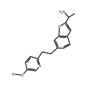 CCOc1ccc(CCc2ccc3cc(C(C)N)oc3c2)nc1